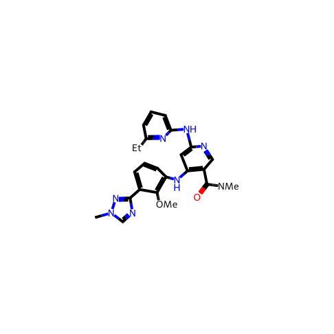 CCc1cccc(Nc2cc(Nc3cccc(-c4ncn(C)n4)c3OC)c(C(=O)NC)cn2)n1